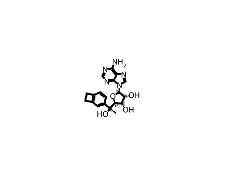 C[C@@](O)(c1ccc2c(c1)CC2)[C@H]1O[C@@H](n2cnc3c(N)ncnc32)[C@H](O)[C@@H]1O